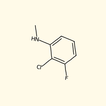 CNc1cccc(F)c1Cl